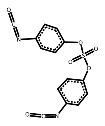 O=C=Nc1ccc(OS(=O)(=O)Oc2ccc(N=C=O)cc2)cc1